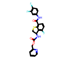 O=C(NC1CSc2c(C(=O)Nc3ccc(F)c(F)c3)ccc(F)c21)OCc1ccccn1